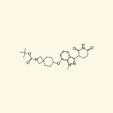 Cn1nc(C2CCC(=O)NC2=O)c2cccc(OC3CCC4(CC3)CN(C(=O)OC(C)(C)C)C4)c21